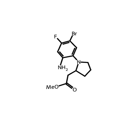 COC(=O)CC1CCCN1c1cc(Br)c(F)cc1N